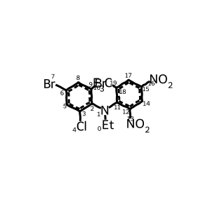 CCN(c1c(Cl)cc(Br)cc1Br)c1c([N+](=O)[O-])cc([N+](=O)[O-])cc1C(F)(F)F